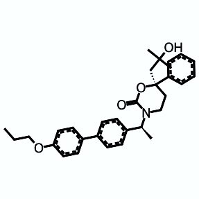 CCCOc1ccc(-c2ccc([C@H](C)N3CC[C@](CC(C)(C)O)(c4ccccc4)OC3=O)cc2)cc1